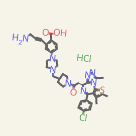 Cc1sc2c(c1C)C(c1ccc(Cl)cc1)=N[C@@H](CC(=O)N1CCC(CN3CCN(c4ccc(C(=O)O)c(C#CCN)c4)CC3)CC1)c1nnc(C)n1-2.Cl